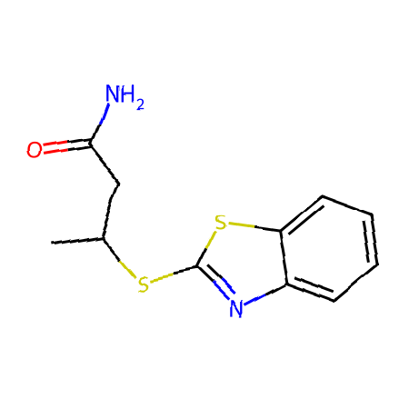 CC(CC(N)=O)Sc1nc2ccccc2s1